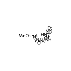 CCc1ncc(F)c(Nc2n[nH]c3c2CN(C(=O)N2CC(C)N(CCCOC)CC2C)C3(C)C)n1